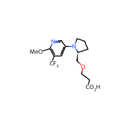 COc1ncc(N2CCC[C@H]2COCCC(=O)O)cc1C(F)(F)F